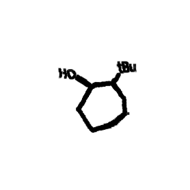 CC(C)(C)C1C[CH]CCC1O